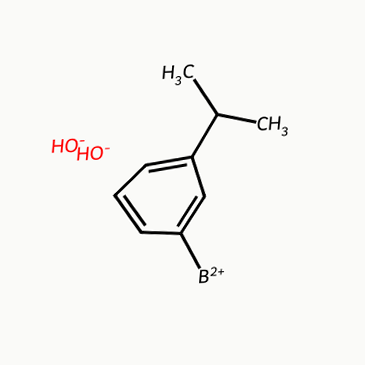 [B+2]c1cccc(C(C)C)c1.[OH-].[OH-]